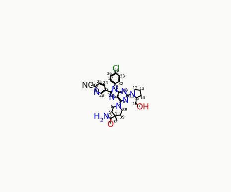 CC1(C(N)=O)CCN(c2nc(N3CCC[C@H]3CO)nc3c2nc(-c2ccc(C#N)nc2)n3-c2ccc(Cl)cc2)CC1